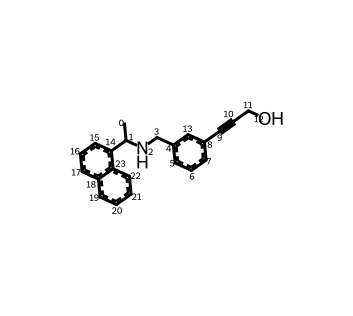 CC(NCc1cccc(C#CCO)c1)c1cccc2ccccc12